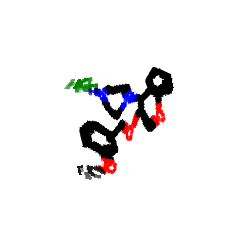 Cl.Cl.FC(F)(F)Oc1cccc(COC2COc3ccccc3C2N2CCNCC2)c1